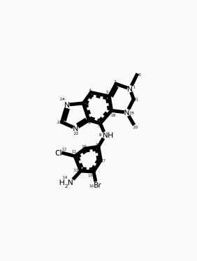 CN1C=c2cc3c(c(Nc4cc(Cl)c(N)c(Br)c4)c2N(C)C1)=NC=N3